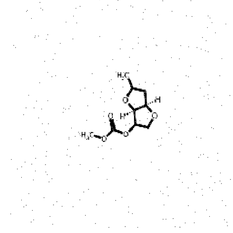 COC(=O)OC1CO[C@@H]2CC(C)O[C@H]12